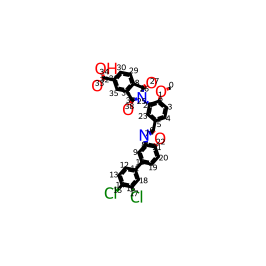 COc1ccc(-c2nc3cc(-c4ccc(Cl)c(Cl)c4)ccc3o2)cc1N1C(=O)c2ccc(C(=O)O)cc2C1=O